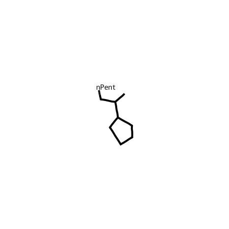 CCCCCCC(C)C1CCCC1